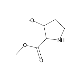 COC(=O)C1NCCC1[O]